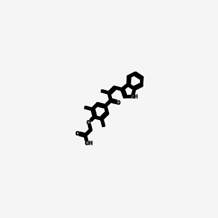 CC(=Cc1c[nH]c2ccccc12)C(=O)c1cc(C)c(OCC(=O)O)c(C)c1